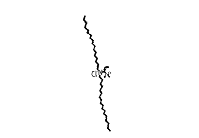 CCCCCCCCCCCCCCCCCCN(CCCCCCCCCCCCCCCCCC)C(CC)[N+](C)(C)C.[Cl-]